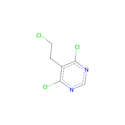 ClCCc1c(Cl)ncnc1Cl